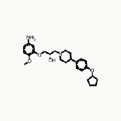 COc1ccc(N)cc1OC[C@@H](O)CN1CCC(c2ccc(OC3CCCC3)cc2)CC1